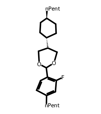 CCCCCc1ccc(C2OCC([C@H]3CC[C@H](CCCCC)CC3)CO2)c(F)c1